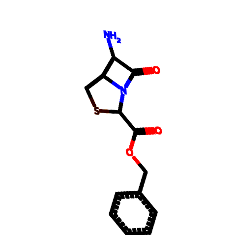 NC1C(=O)N2C(C(=O)OCc3ccccc3)SCC12